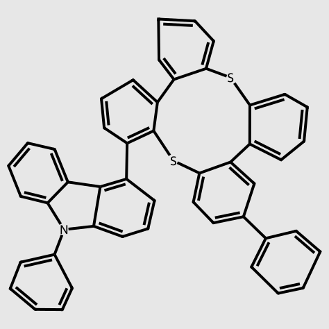 c1ccc(-c2ccc3c(c2)-c2ccccc2Sc2ccccc2-c2cccc(-c4cccc5c4c4ccccc4n5-c4ccccc4)c2S3)cc1